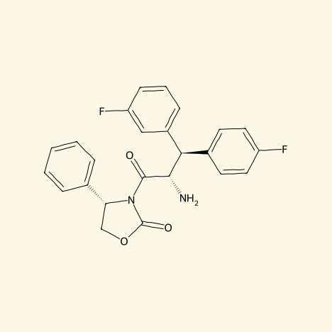 N[C@H](C(=O)N1C(=O)OC[C@@H]1c1ccccc1)[C@H](c1ccc(F)cc1)c1cccc(F)c1